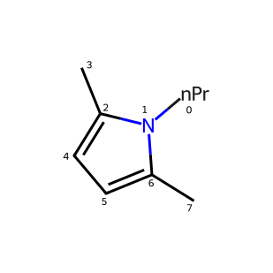 [CH2]CCn1c(C)ccc1C